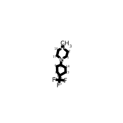 CN1CCN(C2CCC(C(F)(F)F)CC2)CC1